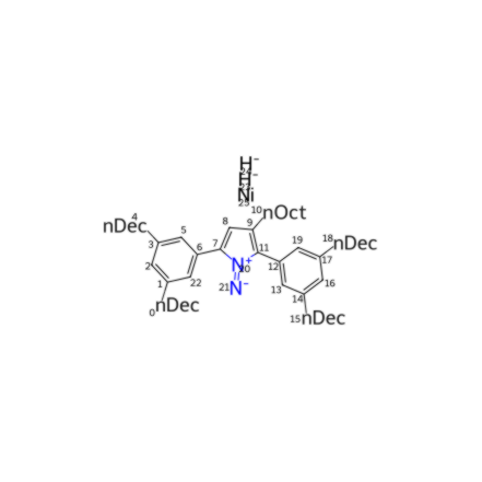 CCCCCCCCCCc1cc(CCCCCCCCCC)cc(C2=CC(CCCCCCCC)=C(c3cc(CCCCCCCCCC)cc(CCCCCCCCCC)c3)[N+]2=[N-])c1.[H-].[H-].[Ni]